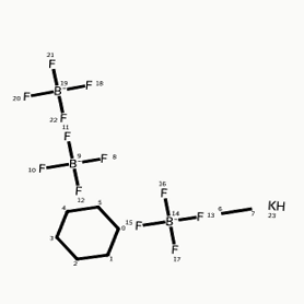 C1CCCCC1.CC.F[B-](F)(F)F.F[B-](F)(F)F.F[B-](F)(F)F.[KH]